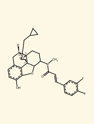 CN(C(=O)/C=C/c1ccc(F)c(F)c1)C1CC[C@@]2(O)[C@H]3Cc4ccc(O)c5c4[C@@]2(CCN3CC2CC2)C1O5